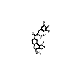 CC(=O)N(C)N(Cc1cc(F)c(F)c(F)c1)C(=O)c1ccc2nc(N)c3cnn(C)c3c2c1